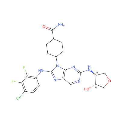 NC(=O)C1CCC(n2c(Nc3ccc(Cl)c(F)c3F)nc3cnc(N[C@H]4COC[C@@H]4O)nc32)CC1